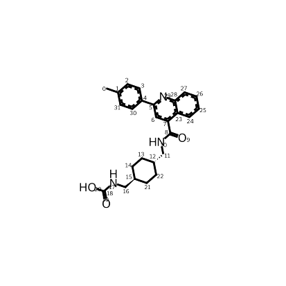 Cc1ccc(-c2cc(C(=O)NC[C@H]3CC[C@H](CNC(=O)O)CC3)c3ccccc3n2)cc1